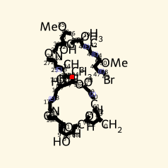 C=C1C[C@@H]2C[C@@H]3C[C@H](O)C[C@@H](O3)c3coc(n3)/C=C/C[C@H]3O[C@@H](/C(C)=C/c4coc(C[C@]5(O)C[C@H](OC)C[C@H]([C@H](O)/C=C(C)/C=C/[C@@H](C/C=C/Br)OC)O5)n4)[C@H](C)[C@@H](OC(=O)/C=C\C[C@@H](C1)O2)[C@H]3C